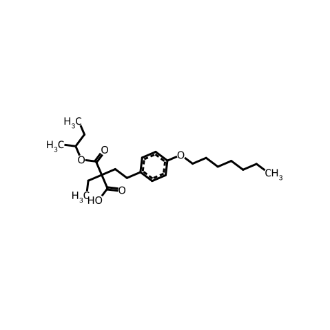 CCCCCCCOc1ccc(CCC(CC)(C(=O)O)C(=O)OC(C)CC)cc1